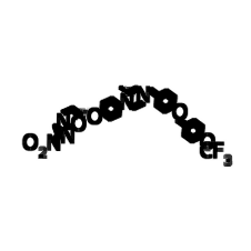 C[C@H]1CN(Cc2ccc(OCc3ccc(OC(F)(F)F)cc3)cc2)CCN1c1ccc(OC[C@H]2CCn3cc([N+](=O)[O-])nc3O2)cc1